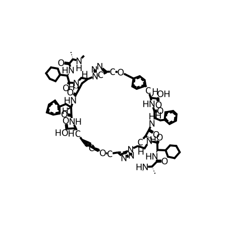 CN[C@@H](C)C(=O)N[C@H](C(=O)N1C[C@@H]2C[C@H]1C(=O)N[C@@H](Cc1ccccc1)C(=O)N[C@H](C(=O)O)Cc1ccc(cc1)OCc1cn(nn1)[C@H]1C[C@@H](C(=O)N[C@@H](Cc3ccccc3)C(=O)N[C@H](C(=O)O)Cc3ccc(cc3)OCc3cn2nn3)N(C(=O)[C@@H](NC(=O)[C@H](C)NC)C2CCCCC2)C1)C1CCCCC1